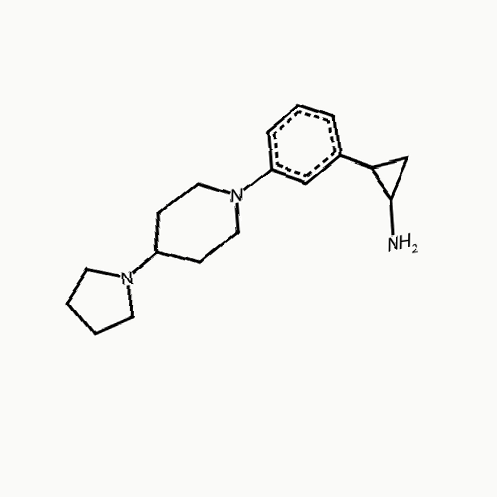 NC1CC1c1cccc(N2CCC(N3CCCC3)CC2)c1